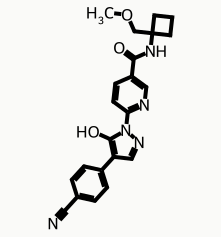 COCC1(NC(=O)c2ccc(-n3ncc(-c4ccc(C#N)cc4)c3O)nc2)CCC1